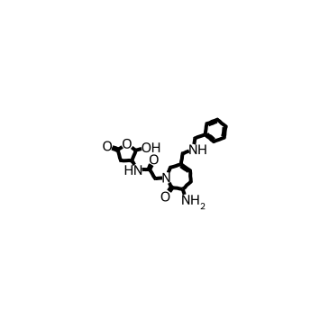 NC1CC=C(CNCc2ccccc2)CN(CC(=O)NC2CC(=O)OC2O)C1=O